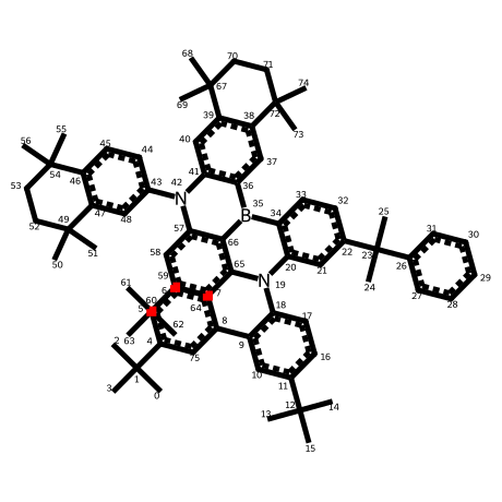 CC(C)(C)c1cccc(-c2cc(C(C)(C)C)ccc2N2c3cc(C(C)(C)c4ccccc4)ccc3B3c4cc5c(cc4N(c4ccc6c(c4)C(C)(C)CCC6(C)C)c4cc(C(C)(C)C)cc2c43)C(C)(C)CCC5(C)C)c1